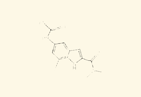 CN(C)C(=O)c1cc2cc(NC(=N)N)cc(Cl)c2[nH]1